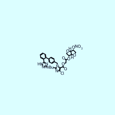 CCCCc1nc(Cl)c(C(=O)OCC(=O)O[C@H]2CO[C@H]3[C@@H]2OC[C@H]3O[N+](=O)[O-])n1Cc1ccc(-c2ccccc2-c2nnn[nH]2)cc1